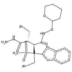 CC(C)C[C@@H](C(=O)NN)[C@@H](C(=O)NOC1CCCCO1)C(CC(C)C)(c1cc2ccccc2o1)S(C)(=O)=O